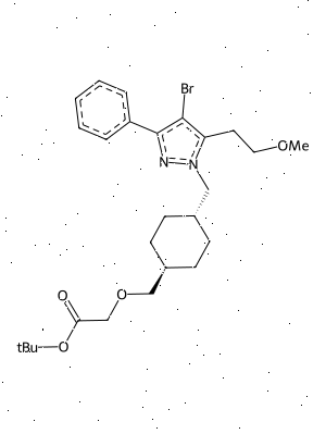 COCCc1c(Br)c(-c2ccccc2)nn1C[C@H]1CC[C@H](COCC(=O)OC(C)(C)C)CC1